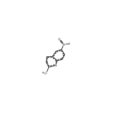 [CH2]c1ccc2cc([N+](=O)[O-])ccc2n1